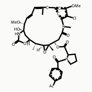 COc1cc2cc(c1Cl)N(C)C(=O)C[C@H](OC(=O)C1CCCN1C(=O)c1ccc(C(C)=O)cc1)[C@]1(C)O[C@H]1[C@H](C)[C@@H]1C[C@@](O)(NC(=O)O1)[C@H](OC)/C=C/C=C(\C)C2